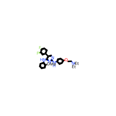 CCN(CC)CCOc1ccc(Nc2ncc(-c3ccc(F)c(F)c3)c(Nc3ccccc3OC)n2)cc1